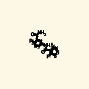 NC(=O)c1cc(NC(=O)c2c(F)cncc2F)ccc1F